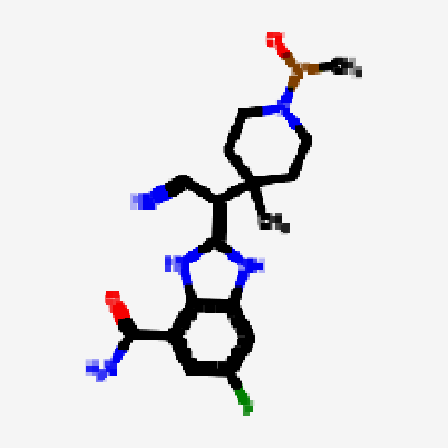 C[S+]([O-])N1CCC(C)(/C(C=N)=C2\Nc3cc(F)cc(C(N)=O)c3N2)CC1